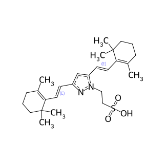 CC1=C(/C=C/c2cc(/C=C/C3=C(C)CCCC3(C)C)n(CCS(=O)(=O)O)n2)C(C)(C)CCC1